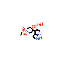 CCS(=O)(=O)N1CCC2(CC1)OB(O)c1cnc3[nH]ccc3c12